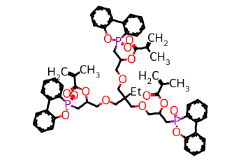 C=C(C)C(=O)OC(COCC(CC)(COCC(CP1(=O)Oc2ccccc2-c2ccccc21)OC(=O)C(=C)C)COCC(CP1(=O)Oc2ccccc2-c2ccccc21)OC(=O)C(=C)C)CP1(=O)Oc2ccccc2-c2ccccc21